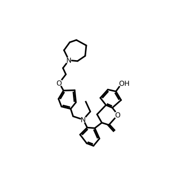 C=C1Oc2cc(O)ccc2CC1c1ccccc1N(CC)Cc1ccc(OCCN2CCCCCC2)cc1